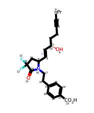 CCCC#CCC[C@H](O)/C=C/C1CC(F)(F)C(=O)N1CCc1ccc(C(=O)O)cc1